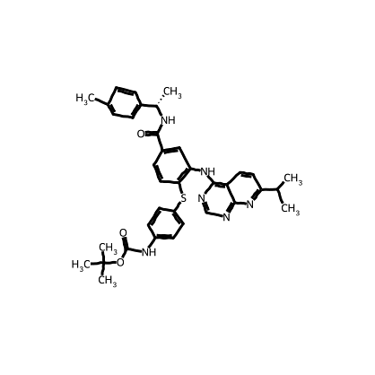 Cc1ccc([C@H](C)NC(=O)c2ccc(Sc3ccc(NC(=O)OC(C)(C)C)cc3)c(Nc3ncnc4nc(C(C)C)ccc34)c2)cc1